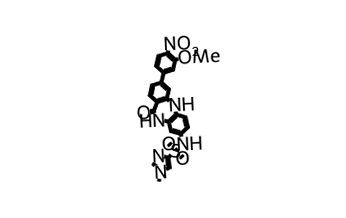 COc1cc(-c2ccc3c(c2)Nc2ccc(NS(=O)(=O)c4cn(C)cn4)cc2NC3=O)ccc1[N+](=O)[O-]